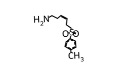 Cc1ccc(S(=O)(=O)CC/C=C\CCN)cc1